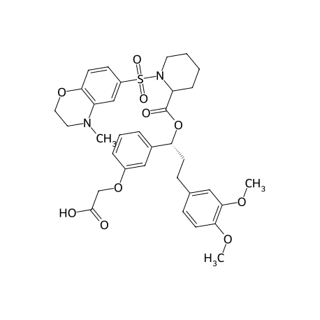 COc1ccc(CC[C@@H](OC(=O)C2CCCCN2S(=O)(=O)c2ccc3c(c2)N(C)CCO3)c2cccc(OCC(=O)O)c2)cc1OC